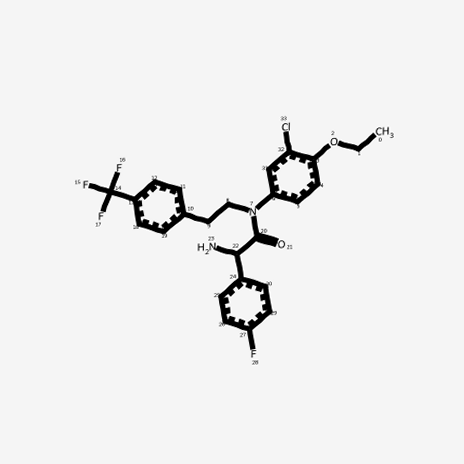 CCOc1ccc(N(CCc2ccc(C(F)(F)F)cc2)C(=O)C(N)c2ccc(F)cc2)cc1Cl